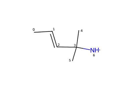 CC=CC(C)(C)[NH]